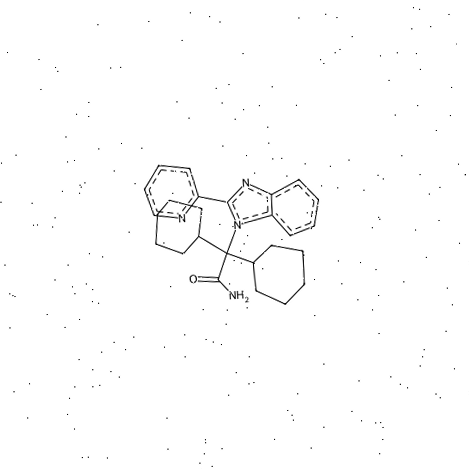 NC(=O)C(C1CCCCC1)(C1CCCCC1)n1c(-c2ccccn2)nc2ccccc21